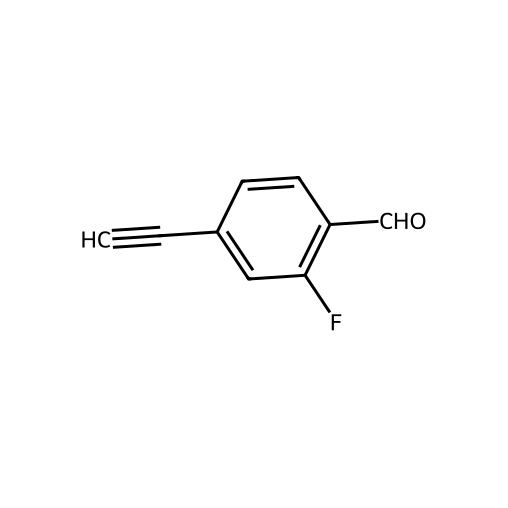 C#Cc1ccc(C=O)c(F)c1